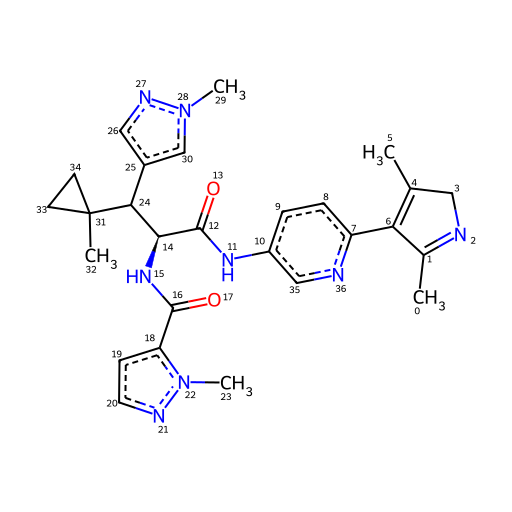 CC1=NCC(C)=C1c1ccc(NC(=O)[C@@H](NC(=O)c2ccnn2C)C(c2cnn(C)c2)C2(C)CC2)cn1